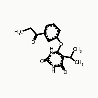 CCC(=O)c1cccc(Oc2[nH]c(=O)[nH]c(=O)c2C(C)C)c1